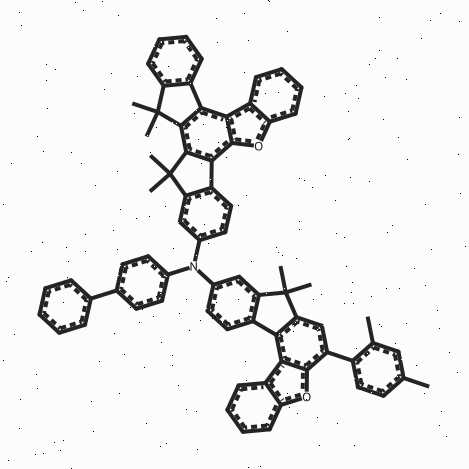 Cc1ccc(-c2cc3c(c4c2oc2ccccc24)-c2ccc(N(c4ccc(-c5ccccc5)cc4)c4ccc5c(c4)C(C)(C)c4c6c(c7c(oc8ccccc87)c4-5)-c4ccccc4C6(C)C)cc2C3(C)C)c(C)c1